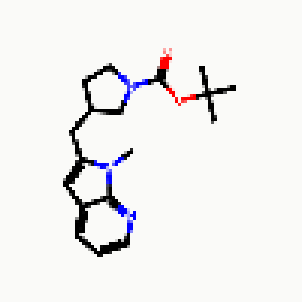 Cn1c(CC2CCN(C(=O)OC(C)(C)C)C2)cc2cccnc21